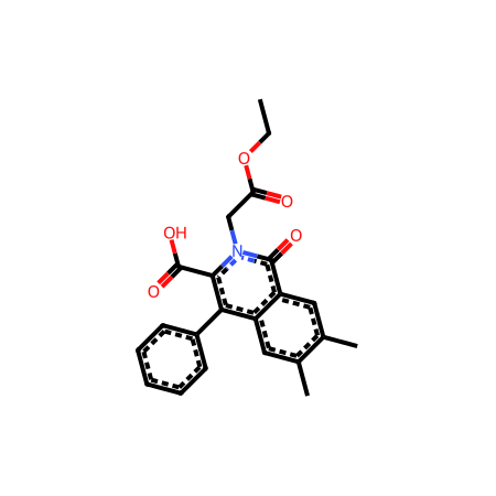 CCOC(=O)Cn1c(C(=O)O)c(-c2ccccc2)c2cc(C)c(C)cc2c1=O